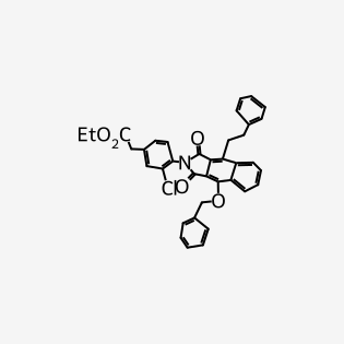 CCOC(=O)Cc1ccc(N2C(=O)c3c(c(OCc4ccccc4)c4ccccc4c3CCc3ccccc3)C2=O)c(Cl)c1